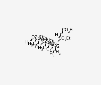 CC(C)=O.CC(C)=O.CC(C)=O.CCOC(C)=O.CCOC(C)=O.CCOC(C)=O.CCOC(C)=O.CCOC(C)=O.CCOC(C)=O.CCOC(C)=O